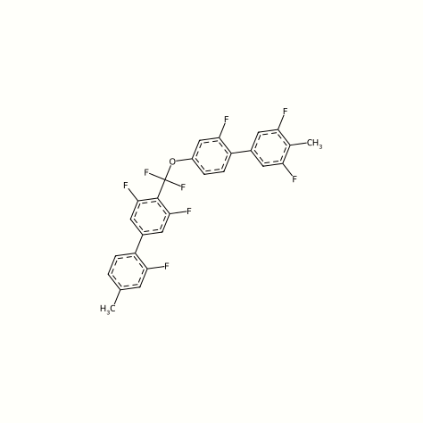 Cc1ccc(-c2cc(F)c(C(F)(F)Oc3ccc(-c4cc(F)c(C)c(F)c4)c(F)c3)c(F)c2)c(F)c1